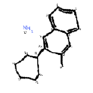 Cc1cc2ccccc2cc1C1CCCCC1.N